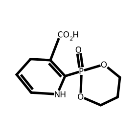 O=C(O)C1=C(P2(=O)OCCCO2)NC=CC1